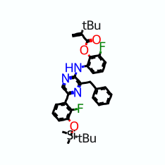 C=C(C(=O)Oc1c(F)cccc1Nc1ncc(-c2cccc(O[Si](C)(C)C(C)(C)C)c2F)nc1Cc1ccccc1)C(C)(C)C